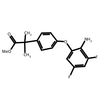 COC(=O)C(C)(C)c1ccc(Oc2cc(F)cc(F)c2N)cc1